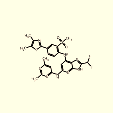 Cc1cc(Nc2cc(Nc3ccc(-c4nc(C)c(C)s4)cc3S(C)(=O)=O)c3nc(C(F)F)[nH]c3n2)nc(C)n1